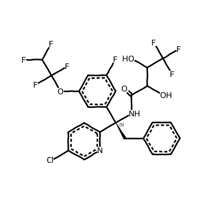 O=C(N[C@@](Cc1ccccc1)(c1cc(F)cc(OC(F)(F)C(F)F)c1)c1ccc(Cl)cn1)C(O)C(O)C(F)(F)F